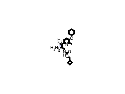 Cc1nc(/C(N)=C(\CNC(=O)OCC2CCC2)N(C)N)ccc1OC1CCCCC1